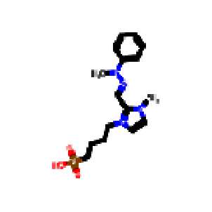 CN(N=Cc1n(C)cc[n+]1CCCCS(=O)(=O)O)c1ccccc1